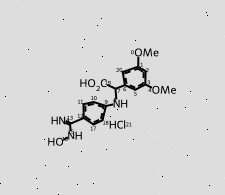 COc1cc(OC)cc(C(Nc2ccc(C(=N)NO)cc2)C(=O)O)c1.Cl